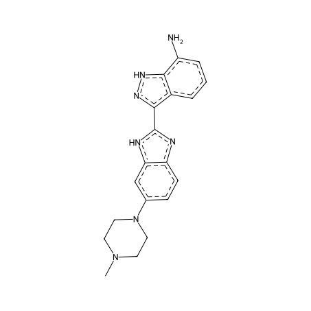 CN1CCN(c2ccc3nc(-c4n[nH]c5c(N)cccc45)[nH]c3c2)CC1